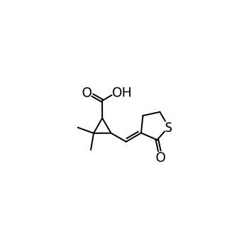 CC1(C)C(/C=C2\CCSC2=O)C1C(=O)O